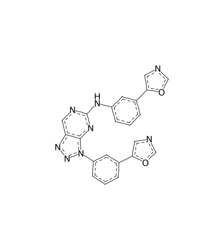 c1cc(Nc2ncc3nnn(-c4cccc(-c5cnco5)c4)c3n2)cc(-c2cnco2)c1